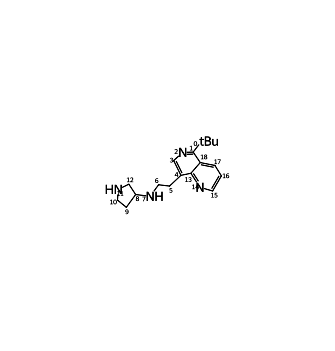 CC(C)(C)c1ncc(CCNC2CCNC2)c2ncccc12